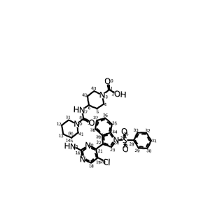 O=C(O)N1CCC(NC(=O)N2CCC[C@@H](Nc3ncc(Cl)c(-c4cn(S(=O)(=O)c5ccccc5)c5ccccc45)n3)C2)CC1